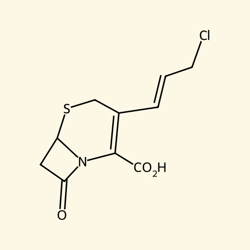 O=C(O)C1=C(C=CCCl)CSC2CC(=O)N12